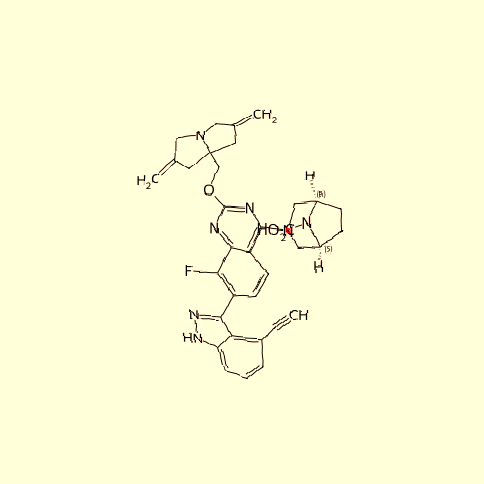 C#Cc1cccc2[nH]nc(-c3ccc4c(N5C[C@H]6CC[C@@H](C5)N6C(=O)O)nc(OCC56CC(=C)CN5CC(=C)C6)nc4c3F)c12